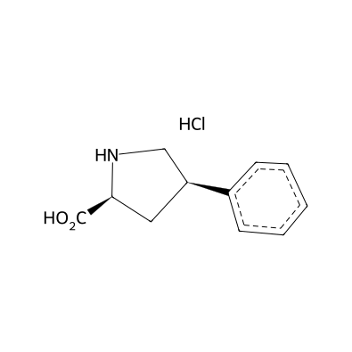 Cl.O=C(O)[C@@H]1C[C@H](c2ccccc2)CN1